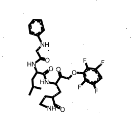 CC(C)CC(NC(=O)CNc1ccccc1)C(=O)NC(CC1CCNC1=O)C(=O)COc1c(F)c(F)cc(F)c1F